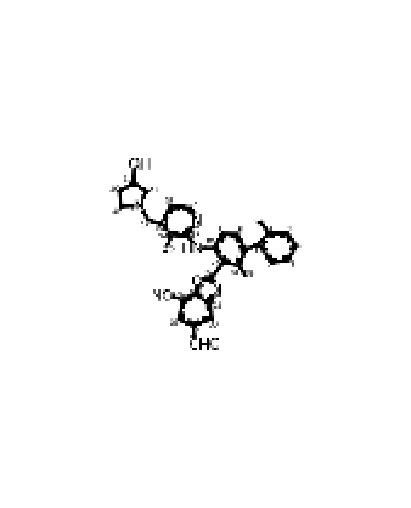 Cc1ccccc1-c1ccc(Nc2nccc(CN3CCC(O)C3)c2F)c(-c2nc3cc(C=O)cc(C#N)c3o2)c1C